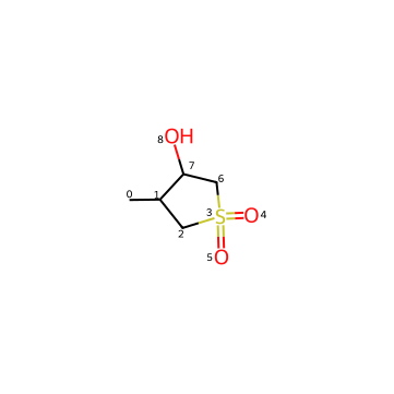 CC1CS(=O)(=O)CC1O